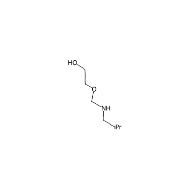 CC(C)CNCOCCO